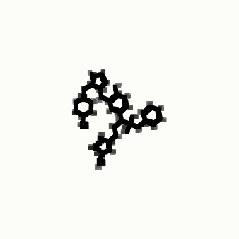 CCC1CCN(Cc2nccn2Cc2cc(C(CCc3cn(CC)nn3)C(C)(C)Cc3ccccc3)ccc2C)CC1